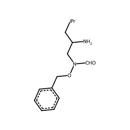 CC(C)CC(N)CN(C=O)OCc1ccccc1